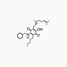 CCCCCC1=C(NCc2ccccc2)C(=O)C(C/C=C(\C)CCC=C(C)C)=C(O)C1=O